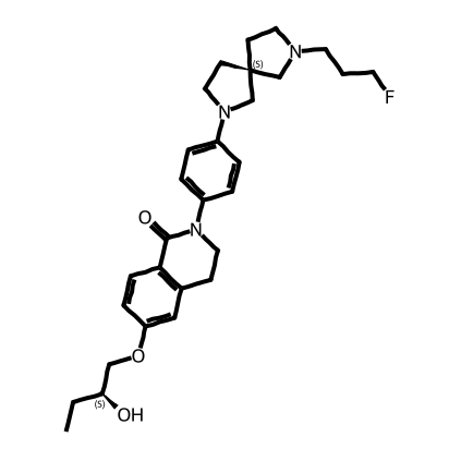 CC[C@H](O)COc1ccc2c(c1)CCN(c1ccc(N3CC[C@]4(CCN(CCCF)C4)C3)cc1)C2=O